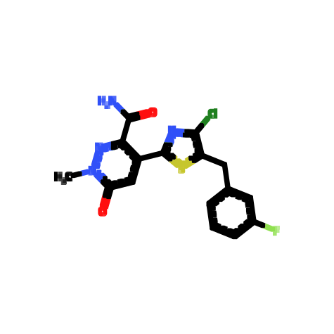 Cn1nc(C(N)=O)c(-c2nc(Cl)c(Cc3cccc(F)c3)s2)cc1=O